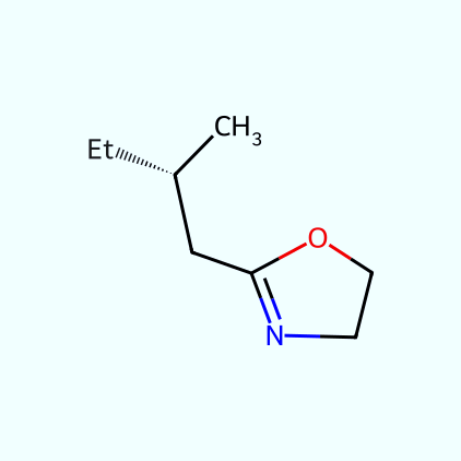 CC[C@H](C)CC1=NCCO1